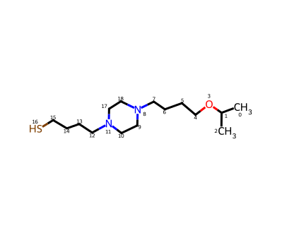 CC(C)OCCCCN1CCN(CCCCS)CC1